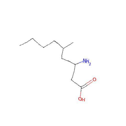 CCCCC(C)CC(N)CC(=O)O